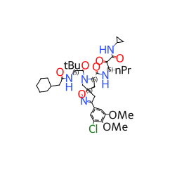 CCC[C@H](NC(=O)[C@@H]1C[C@]2(CC(c3cc(Cl)c(OC)c(OC)c3)=NO2)CN1C(=O)[C@@H](NC(=O)CC1CCCCC1)C(C)(C)C)C(=O)C(=O)NC1CC1